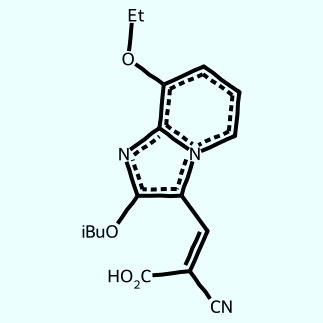 CCOc1cccn2c(C=C(C#N)C(=O)O)c(OCC(C)C)nc12